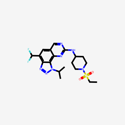 CCS(=O)(=O)N1CCC(Nc2ncc3cc(C(F)F)c4nnn(C(C)C)c4c3n2)CC1